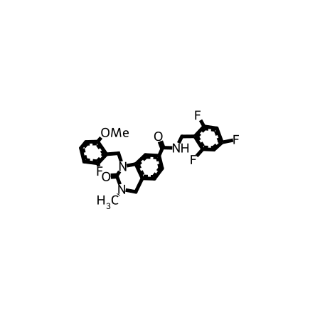 COc1cccc(F)c1CN1C(=O)N(C)Cc2ccc(C(=O)NCc3c(F)cc(F)cc3F)cc21